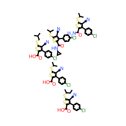 CC(C)CSc1sc(C(=O)O)c(-c2ccc(Cl)cc2)c1C#N.CC(C)Sc1sc(C(=O)NC2CC2)c(-c2ccc(Cl)cc2)c1C#N.CC(C)Sc1sc(C(=O)O)c(-c2ccc(Cl)cc2)c1C#N.CC(C)Sc1sc(C(N)=O)c(-c2ccc(Cl)cc2)c1C#N.CCC(C)Sc1sc(C(=O)O)c(-c2ccc(Cl)cc2)c1C#N